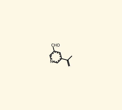 C=C(C)c1cncc(C=O)c1